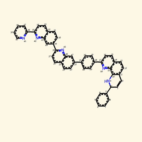 C1=CC(c2ccccc2)Nc2c1ccc1ccc(-c3ccc(-c4ccc5ccc(-c6ccc7ccc(-c8ccccn8)nc7c6)nc5c4)cc3)nc21